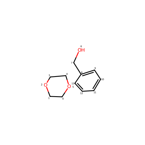 C1COCCO1.OCc1ccccc1